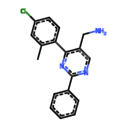 Cc1cc(Cl)ccc1-c1nc(-c2ccccc2)ncc1CN